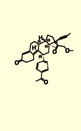 CC#C[C@]1(C(=O)COC)CC[C@H]2[C@@H]3CCC4=CC(=O)CCC4=C3[C@@H](c3ccc(C(C)=O)cc3)C[C@@]21C